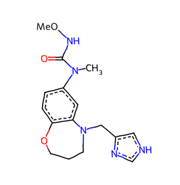 CONC(=O)N(C)c1ccc2c(c1)N(Cc1c[nH]cn1)CCCO2